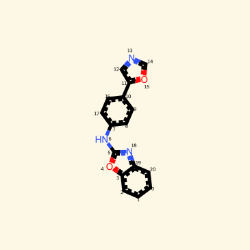 c1ccc2oc(Nc3ccc(-c4cnco4)cc3)nc2c1